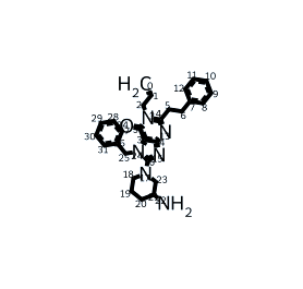 C=CCn1c(CCc2ccccc2)nc2nc(N3CCCC(N)C3)n(Cc3ccccc3)c2c1=O